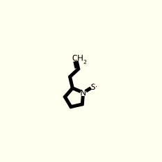 C=CCC1CCCN1[S]